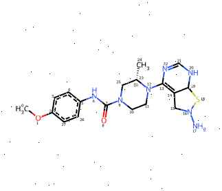 COc1ccc(NC(=O)N2CCN(C3=C4CN(N)SC4NC=N3)[C@@H](C)C2)cc1